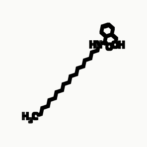 CCCCCCCCCCCCCCCCCCNC(=O)C1CC=CCC1CO